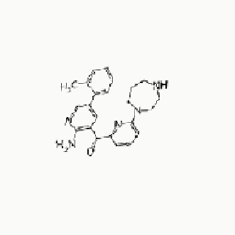 Cc1ccccc1-c1cnc(N)c(C(=O)c2cccc(N3CCCNCC3)n2)c1